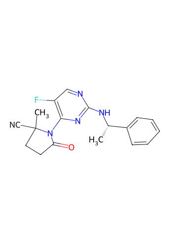 C[C@H](Nc1ncc(F)c(N2C(=O)CCC2(C)C#N)n1)c1ccccc1